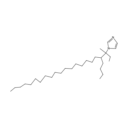 CCCCCCCCCCCCCCCCCCC(CCCC)C(C)(CC)n1ccnc1